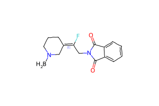 BN1CCC/C(=C(\F)CN2C(=O)c3ccccc3C2=O)C1